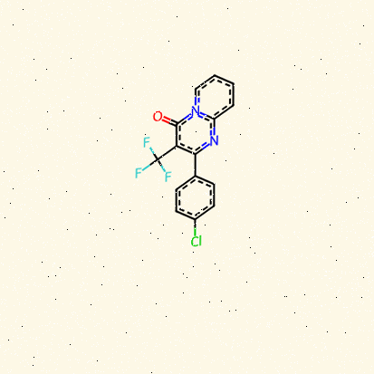 O=c1c(C(F)(F)F)c(-c2ccc(Cl)cc2)nc2ccccn12